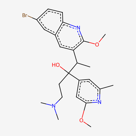 COc1cc(C(O)(CCN(C)C)C(C)c2cc3cc(Br)ccc3nc2OC)cc(C)n1